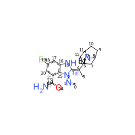 C=NN1/C(=C(\C)C2CC3CCC(C2)N3CC)Nc2cc(F)cc(C(N)=O)c21